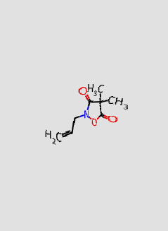 C=CCN1OC(=O)C(C)(C)C1=O